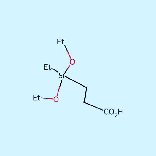 CCO[Si](CC)(CCC(=O)O)OCC